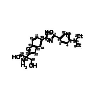 CCN(CC)c1ccc(-c2nc(-c3ccc4oc(C(N)(CO)CO)cc4c3)no2)cn1